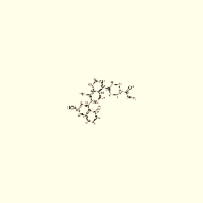 C=CC(=O)N1CCN(c2ncnc3c(F)c(-c4cc(O)cc5cccc(Cl)c45)ncc23)CC1